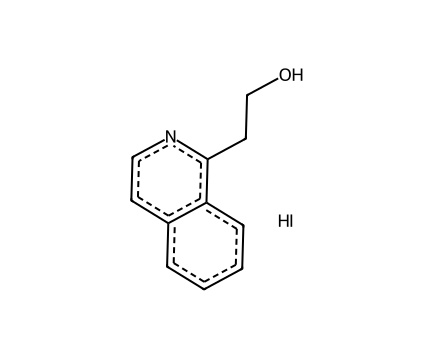 I.OCCc1nccc2ccccc12